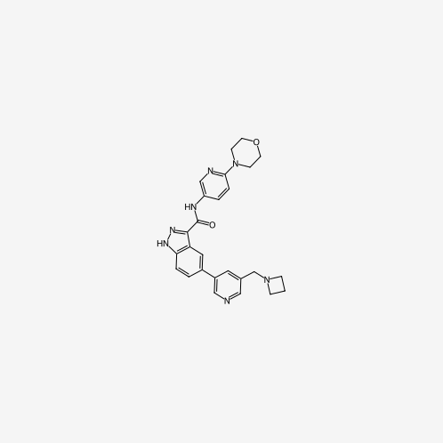 O=C(Nc1ccc(N2CCOCC2)nc1)c1n[nH]c2ccc(-c3cncc(CN4CCC4)c3)cc12